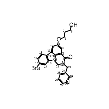 O=C1c2cc(OCCCO)cc3c4ccc(Br)cc4n(c23)CN1Cc1cccnc1